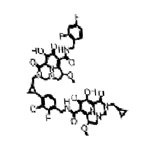 COC1CN2CN(CC3CC3)C(=O)c3c(O)c(=O)c(C(=O)NCc4ccc(C5CC5CN5CN6CC(OC)c7c(C(=O)NCc8ccc(F)cc8F)c(=O)c(O)c(n76)C5=O)c(Cl)c4F)c1n32